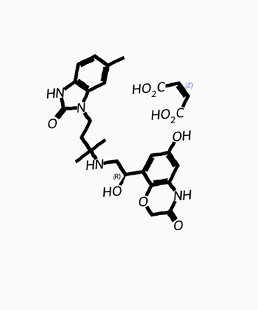 Cc1ccc2[nH]c(=O)n(CCC(C)(C)NC[C@H](O)c3cc(O)cc4c3OCC(=O)N4)c2c1.O=C(O)/C=C\C(=O)O